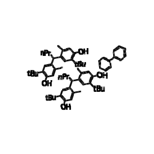 CCCC(c1cc(C(C)(C)C)c(O)cc1C)c1cc(C(C)(C)C)c(O)cc1C.CCCC(c1cc(C(C)(C)C)c(O)cc1C)c1cc(C(C)(C)C)c(O)cc1C.c1ccc(-c2ccccc2)cc1